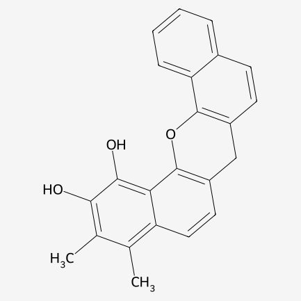 Cc1c(O)c(O)c2c3c(ccc2c1C)Cc1ccc2ccccc2c1O3